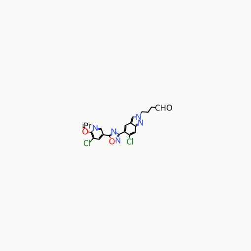 CC(C)Oc1ncc(-c2nc(-c3cc4cn(CCCC=O)nc4cc3Cl)no2)cc1Cl